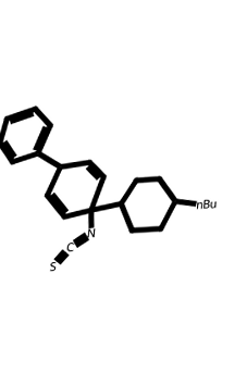 CCCCC1CCC(C2(N=C=S)C=CC(c3ccccc3)C=C2)CC1